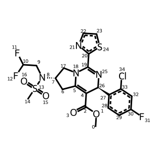 COC(=O)C1=C2C[C@H](N(CC(F)F)S(C)(=O)=O)CN2C(c2nccs2)=N[C@H]1c1ccc(F)cc1Cl